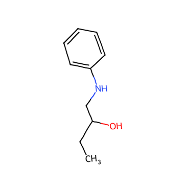 CCC(O)CNc1ccccc1